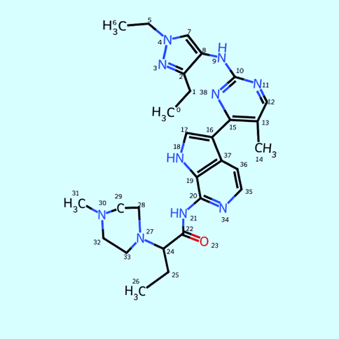 CCc1nn(CC)cc1Nc1ncc(C)c(-c2c[nH]c3c(NC(=O)C(CC)N4CCN(C)CC4)nccc23)n1